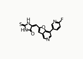 O=C1NC(=S)N/C1=C/c1cc2cncc(-c3ccc(F)nc3)c2o1